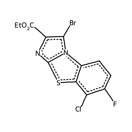 CCOC(=O)c1nc2sc3c(Cl)c(F)ccc3n2c1Br